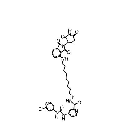 O=C1CCC(N2C(=O)c3cccc(NCCCCCCCCCCNC(=O)c4cc(NC(=O)Nc5ccnc(Cl)c5)ccn4)c3C2=O)C(=O)N1